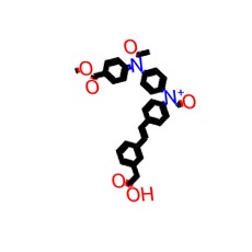 COC(=O)c1ccc(N(C(C)=O)c2ccc([N+](C)(C=O)c3ccc(/C=C/c4cccc(CC(=O)O)c4)cc3)cc2)cc1